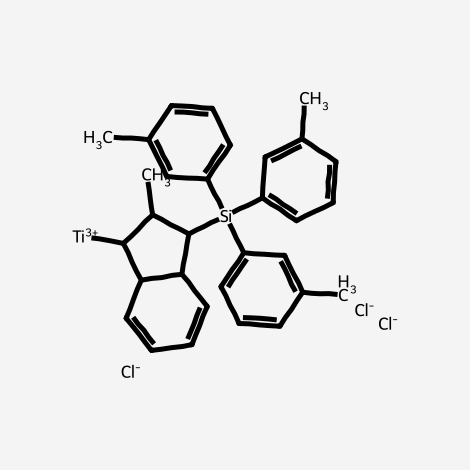 Cc1cccc([Si](c2cccc(C)c2)(c2cccc(C)c2)C2C(C)[CH]([Ti+3])C3C=CC=CC32)c1.[Cl-].[Cl-].[Cl-]